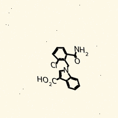 NC(=O)c1cccc(Cl)c1Cn1cc(C(=O)O)c2ccccc21